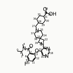 CC(C)N(C)C(=O)c1cc(F)ccc1Oc1cncnc1N1CC2(CCN(CC3CCC(C(=O)O)CC3)CC2)C1